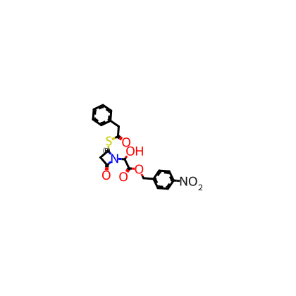 O=C(Cc1ccccc1)S[C@@H]1CC(=O)N1C(O)C(=O)OCc1ccc([N+](=O)[O-])cc1